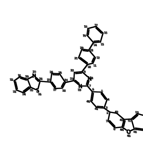 C1=CC(c2ccc(-c3nc(-c4ccc(-c5ccccc5)cc4)cc(-c4ccc(-c5nc6ccccc6s5)cc4)n3)cc2)Cc2c1oc1ccccc21